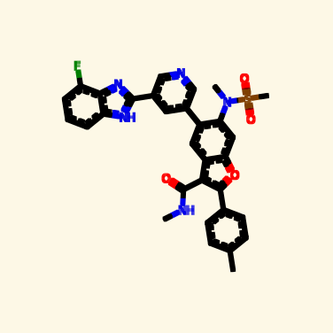 CNC(=O)c1c(-c2ccc(C)cc2)oc2cc(N(C)S(C)(=O)=O)c(-c3cncc(-c4nc5c(F)cccc5[nH]4)c3)cc12